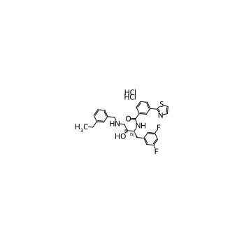 CCc1cccc(CNC[C@H](O)[C@H](Cc2cc(F)cc(F)c2)NC(=O)c2cccc(-c3nccs3)c2)c1.Cl.Cl